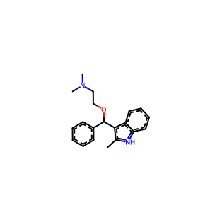 Cc1[nH]c2ccccc2c1C(OCCN(C)C)c1ccccc1